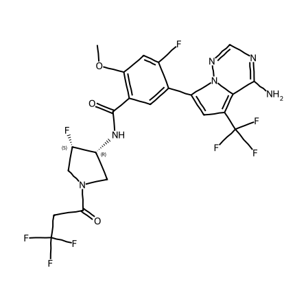 COc1cc(F)c(-c2cc(C(F)(F)F)c3c(N)ncnn23)cc1C(=O)N[C@@H]1CN(C(=O)CC(F)(F)F)C[C@@H]1F